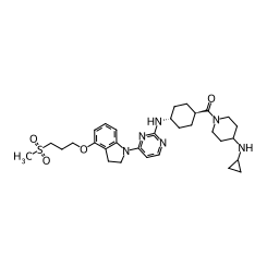 CS(=O)(=O)CCCOc1cccc2c1CCN2c1ccnc(N[C@H]2CC[C@H](C(=O)N3CCC(NC4CC4)CC3)CC2)n1